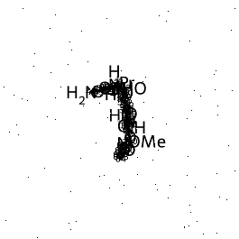 COc1cc2c(cc1OCCCNC(=O)c1cc(NC(=O)c3ccc(-c4ccc(NC(=O)[C@H](C)NC[C@@](C=O)(NC(=O)CCOCCOCCN)C(C)C)cc4)cc3)cn1C)N=CC1Cc3ccccc3CN1C2=O